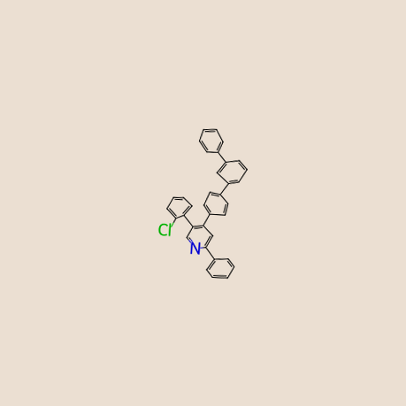 Clc1ccccc1-c1cnc(-c2ccccc2)cc1-c1ccc(-c2cccc(-c3ccccc3)c2)cc1